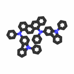 c1ccc(N(c2ccc3c(c2)c2ccccc2n3-c2ccccc2)c2cccc3c2ccc2c(N(c4ccccc4)c4ccc5c(c4)c4ccccc4n5-c4ccccc4)c4ccccc4cc23)cc1